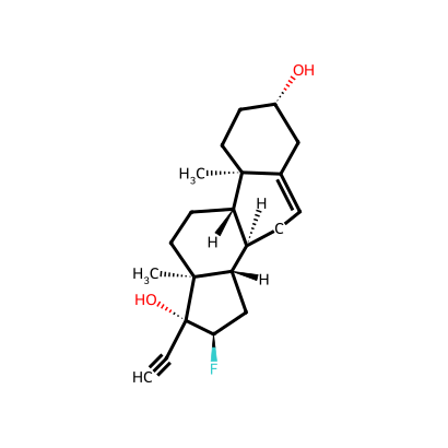 C#C[C@]1(O)[C@H](F)C[C@H]2[C@@H]3CC=C4C[C@@H](O)CC[C@]4(C)[C@H]3CC[C@@]21C